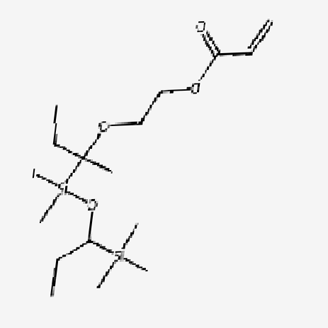 C=CC(=O)OCCOC(C)(CC)[Si](C)(I)OC(CC)[Si](C)(C)C